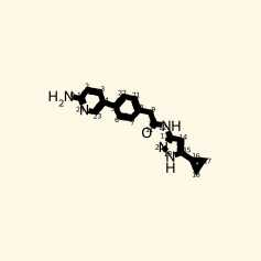 Nc1ccc(-c2ccc(CC(=O)Nc3cc(C4CC4)[nH]n3)cc2)cn1